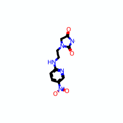 O=C1CN(CCNc2ccc([N+](=O)[O-])cn2)C(=O)[N]1